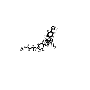 CN(C1CCC(OCCCBr)CC1)S(=O)(=O)c1ccc(C(F)(F)F)cc1